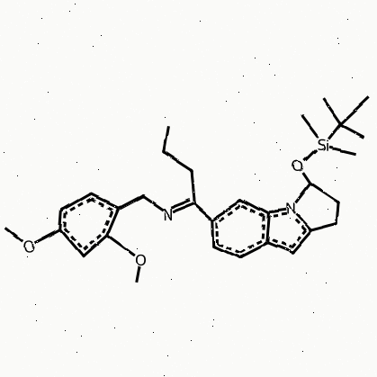 CCCC(=NCc1ccc(OC)cc1OC)c1ccc2cc3n(c2c1)C(O[Si](C)(C)C(C)(C)C)CC3